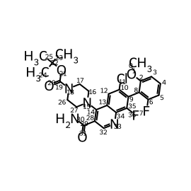 COc1cccc(F)c1-c1c(Cl)cc2c(N3CCN(C(=O)OC(C)(C)C)CC3)c(C(N)=O)cnc2c1F